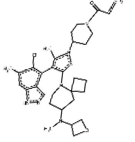 C=CC(=O)N1CCC(n2nc(N3CCC(N(C)C4COC4)CC34CCC4)c(-c3c(Cl)c(C)cc4[nH]ncc34)c2C)CC1